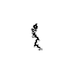 Cc1ccc(S(=O)(=O)OC[C@](C)(O)CCCC(C)CCCC(C)CCCC(C)C)cc1